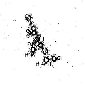 Cn1c(=O)c2nc3[nH]ccc3cc2n1-c1cc(N2CCN(CC3=C(c4ccc(Cl)cc4)CC(C)(C)CC3)CC2)ccc1C(=O)NS(=O)(=O)c1cc2c(c([N+](=O)[O-])c1)N[C@H](CCN1CCOCC1)CO2